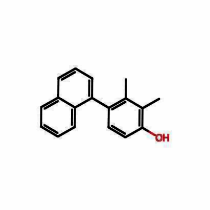 Cc1c(O)ccc(-c2cccc3ccccc23)c1C